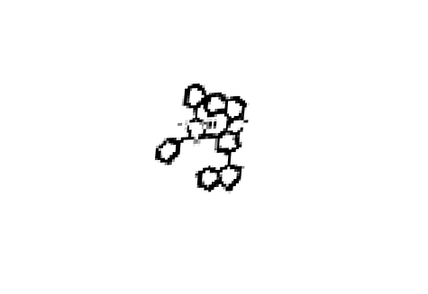 c1ccc(C2N=C(c3cc(-c4cccc5ccccc45)cc4oc5ccc6ccccc6c5c34)NC(c3ccccc3)N2)cc1